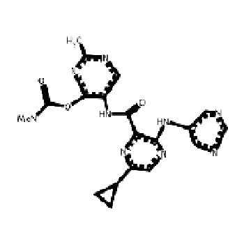 CNC(=O)Oc1nc(C)ncc1NC(=O)c1nc(C2CC2)cnc1Nc1cncnc1